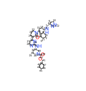 Cc1ccc2c(NCc3ccn(C)n3)cccc2c1Oc1ncccc1-c1ccnc(N[C@H]2C[C@@H](C)CN(C(=O)OCc3ccccc3)C2)n1